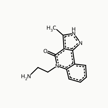 Cc1[nH]nc2c1c(=O)n(CCN)c1ccccc21